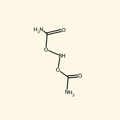 NC(=O)OBOC(N)=O